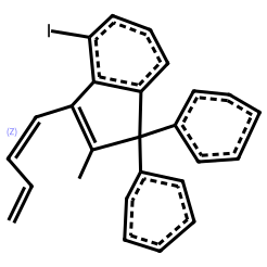 C=C/C=C\C1=C(C)C(c2ccccc2)(c2ccccc2)c2cccc(I)c21